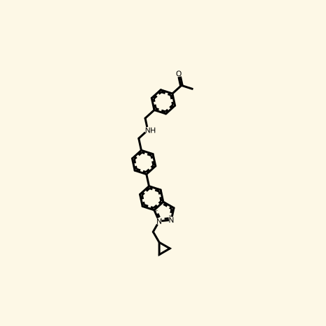 CC(=O)c1ccc(CNCc2ccc(-c3ccc4c(cnn4CC4CC4)c3)cc2)cc1